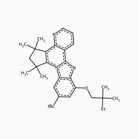 CCC(C)(C)COc1cc(C(C)(C)C)cc2c1nc1c3cccnc3c3c(n21)C(C)(C)CC3(C)C